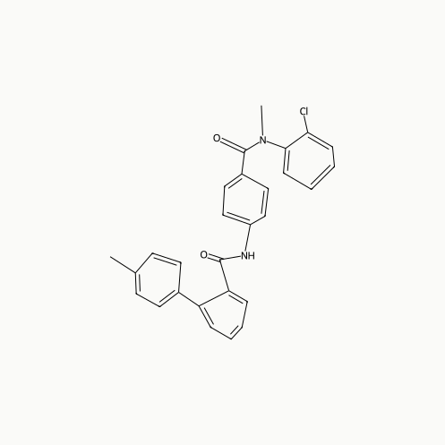 Cc1ccc(-c2ccccc2C(=O)Nc2ccc(C(=O)N(C)c3ccccc3Cl)cc2)cc1